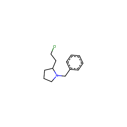 ClCCC1CCCN1Cc1ccccc1